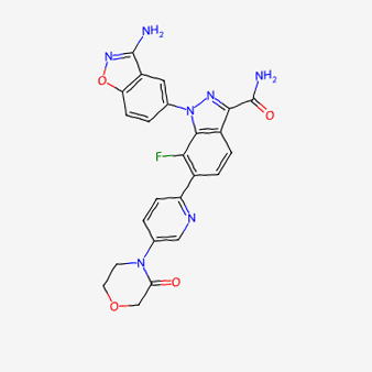 NC(=O)c1nn(-c2ccc3onc(N)c3c2)c2c(F)c(-c3ccc(N4CCOCC4=O)cn3)ccc12